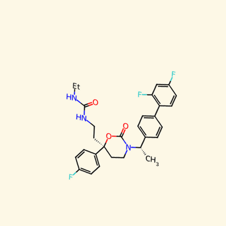 CCNC(=O)NCC[C@@]1(c2ccc(F)cc2)CCN([C@@H](C)c2ccc(-c3ccc(F)cc3F)cc2)C(=O)O1